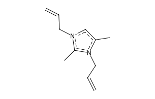 C=CCn1c(C)c[n+](CC=C)c1C